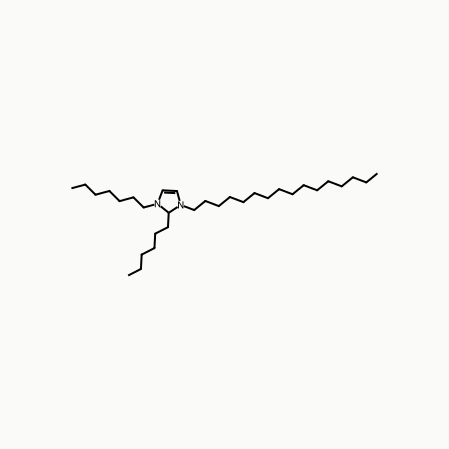 CCCCCCCCCCCCCCCCN1C=CN(CCCCCCC)C1CCCCCC